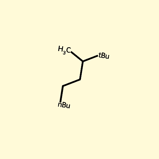 [CH2]CCCCCC(C)C(C)(C)C